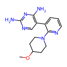 COC1CCN(c2ncccc2-c2cnc(N)nc2N)CC1